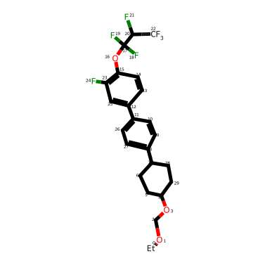 CCOCOC1CCC(c2ccc(-c3ccc(OC(F)(F)C(F)C(F)(F)F)c(F)c3)cc2)CC1